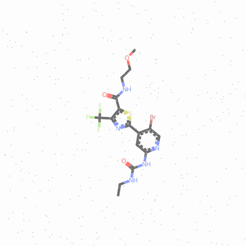 CCNC(=O)Nc1cc(-c2nc(C(F)(F)F)c(C(=O)NCCOC)s2)c(Br)cn1